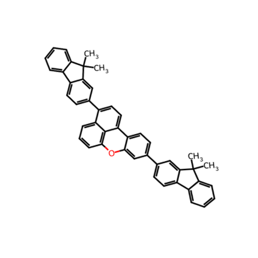 CC1(C)c2ccccc2-c2ccc(-c3ccc4c(c3)Oc3cccc5c(-c6ccc7c(c6)C(C)(C)c6ccccc6-7)ccc-4c35)cc21